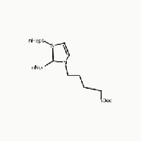 CCCCCCCCCCCCCCN1C=CN(CCCCCCC)C1CCCCCCCCC